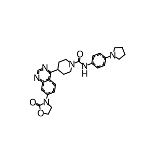 O=C(Nc1ccc(N2CCCC2)cc1)N1CCC(c2ncnc3cc(N4CCOC4=O)ccc23)CC1